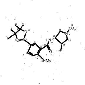 CNc1ccc(B2OC(C)(C)C(C)(C)O2)cc1C(=O)N[C@@H]1CN(C(=O)O)C[C@H]1F